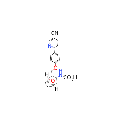 N#Cc1ccc(-c2ccc(OCC3C(NC(=O)O)C[C@H]4CC[C@@H]3O4)cc2)nc1